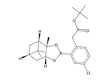 CC(C)(C)OC(=O)Cc1ccc(Cl)cc1B1O[C@@H]2C[C@@H]3C[C@@H](C3(C)C)[C@]2(C)O1